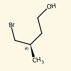 C[C@@H](CBr)CCO